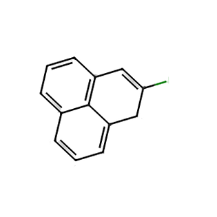 FC1=Cc2[c]ccc3cccc(c23)[CH]1